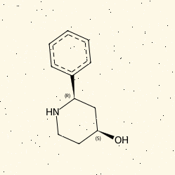 O[C@H]1CCN[C@@H](c2ccccc2)C1